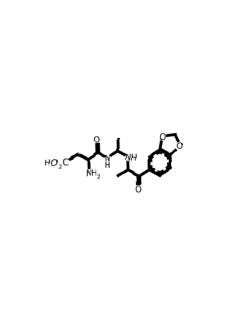 CC(NC(=O)C(N)CC(=O)O)NC(C)C(=O)c1ccc2c(c1)OCO2